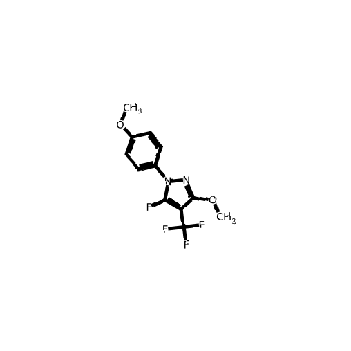 COc1ccc(-n2nc(OC)c(C(F)(F)F)c2F)cc1